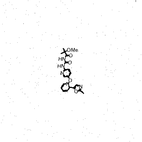 COC(C)(C)C(=O)NC(=O)Nc1ccc(ON2C=CC=CC2c2cnc(C)o2)cn1